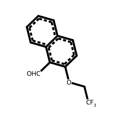 O=Cc1c(OCC(F)(F)F)ccc2ccccc12